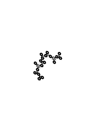 c1ccc(-c2nc(-c3ccc(-n4c5ccccc5c5cc(-n6c7ccccc7c7ccccc76)ccc54)cc3)nc(-c3cccc(-n4c5ccccc5c5c(-c6ccc7c(c6)c6ccccc6n7-c6ccc7c(c6)c6ccccc6n7-c6ccc(-c7nc(-c8ccccc8)nc(-c8ccc9c(c8)c8ccccc8n9-c8ccccc8)n7)cc6)cccc54)c3)n2)cc1